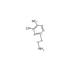 N#Cc1ccc(CCN)cc1Cl